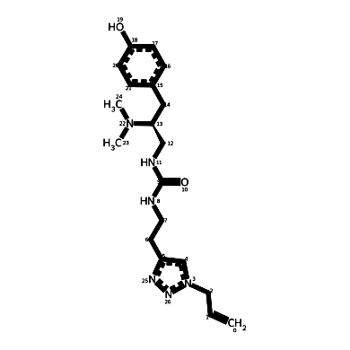 C=CCn1cc(CCNC(=O)NC[C@H](Cc2ccc(O)cc2)N(C)C)nn1